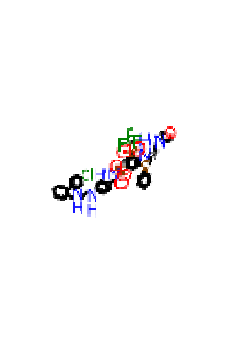 O=C(NS(=O)(=O)c1ccc(N[C@H](CCN2CC3CC2CO3)CSc2ccccc2)c(S(=O)(=O)C(F)(F)F)c1)c1ccc(NCCNCC2=C(c3ccc(Cl)cc3)CCCC2)cc1